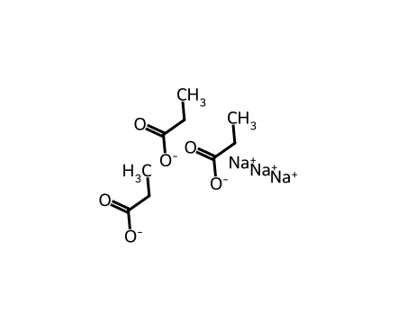 CCC(=O)[O-].CCC(=O)[O-].CCC(=O)[O-].[Na+].[Na+].[Na+]